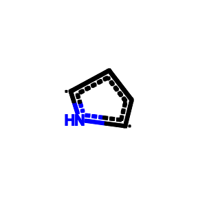 [c]1cc[c][nH]1